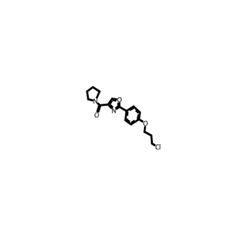 O=C(c1coc(-c2ccc(OCCCCl)cc2)n1)N1CCCC1